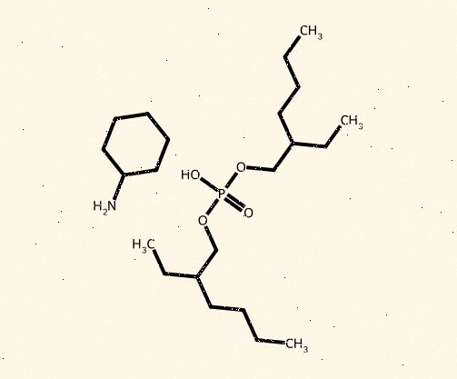 CCCCC(CC)COP(=O)(O)OCC(CC)CCCC.NC1CCCCC1